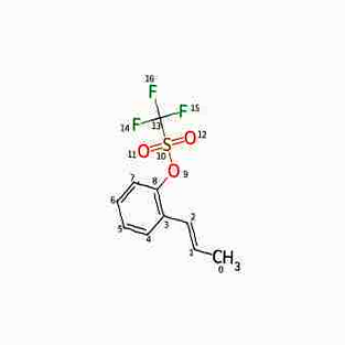 CC=Cc1ccc[c]c1OS(=O)(=O)C(F)(F)F